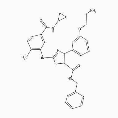 Cc1ccc(C(=O)NC2CC2)cc1Nc1nc(-c2cccc(OCCN)c2)c(C(=O)NCc2ccccc2)s1